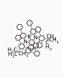 CC(C)(C)c1cc(-c2ccccc2)c(N2c3ccc(-c4ccccc4)cc3B3c4cc(-c5ccccc5)ccc4N(c4c(-c5ccccc5)cc(C(C)(C)C)cc4-c4ccccc4)c4cc(C5(c6ccccc6)c6ccccc6-c6ccccc65)cc2c43)c(-c2ccccc2)c1